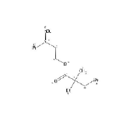 CCCCN(CCOC(=O)C(C)(CC)CC(C)C)C(C)C